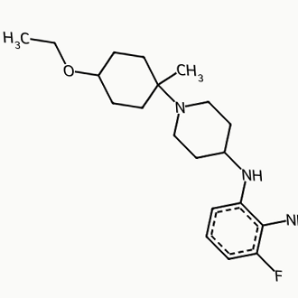 CCOC1CCC(C)(N2CCC(Nc3cccc(F)c3N)CC2)CC1